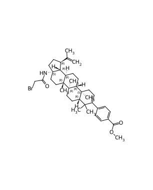 C=C(C)[C@@H]1CC[C@]2(NC(=O)CBr)CC[C@]3(C)[C@H](CC[C@@H]4[C@@]5(C)CC=C(c6ccc(C(=O)OC)cc6)C(C)(C)[C@@H]5CC[C@]43C)[C@@H]12